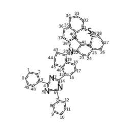 c1ccc(-c2nc(-c3ccccc3)nc(-c3cccc4c(-n5c6ccc7cccc8sc9cccc%10ccc5c(c%109)c6c78)cccc34)n2)cc1